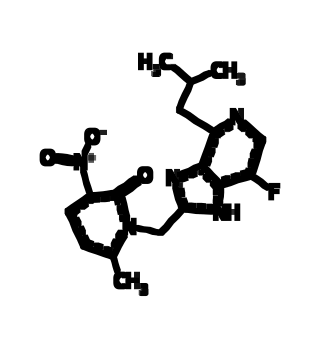 Cc1ccc([N+](=O)[O-])c(=O)n1Cc1nc2c(CC(C)C)ncc(F)c2[nH]1